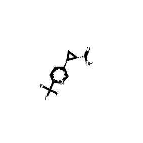 O=C(O)[C@H]1C[C@@H]1c1ccc(C(F)(F)F)nc1